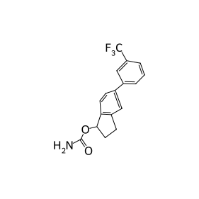 NC(=O)OC1CCc2cc(-c3cccc(C(F)(F)F)c3)ccc21